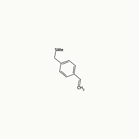 C=Cc1ccc(CSC)cc1